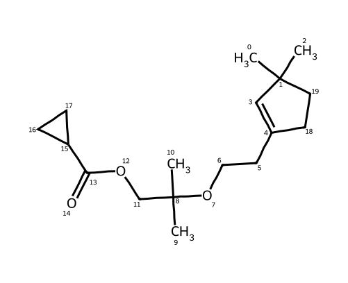 CC1(C)C=C(CCOC(C)(C)COC(=O)C2CC2)CC1